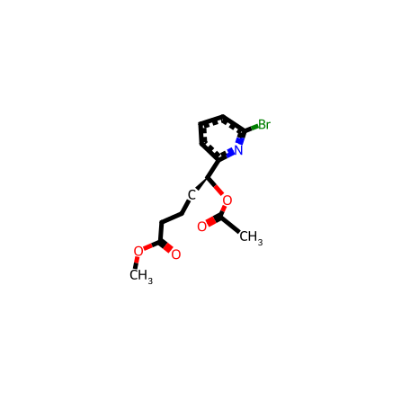 COC(=O)CCC[C@H](OC(C)=O)c1cccc(Br)n1